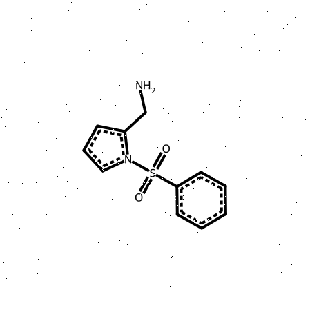 NCc1cccn1S(=O)(=O)c1ccccc1